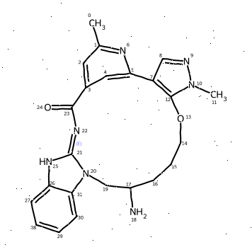 Cc1cc2cc(n1)-c1cnn(C)c1OCCCC(N)CN1/C(=N/C2=O)Nc2ccccc21